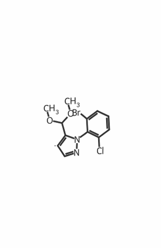 COC(OC)c1[c]cnn1-c1c(Cl)cccc1Br